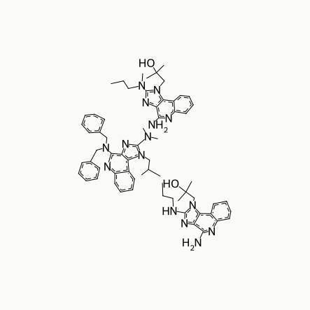 CC(C)Cn1c(N(C)C)nc2c(N(Cc3ccccc3)Cc3ccccc3)nc3ccccc3c21.CCCN(C)c1nc2c(N)nc3ccccc3c2n1CC(C)(C)O.CCCNc1nc2c(N)nc3ccccc3c2n1CC(C)(C)O